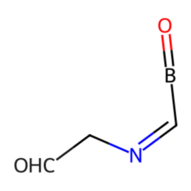 O=B/C=N\CC=O